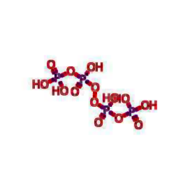 O=P(O)(O)OP(=O)(O)OOP(=O)(O)OP(=O)(O)O